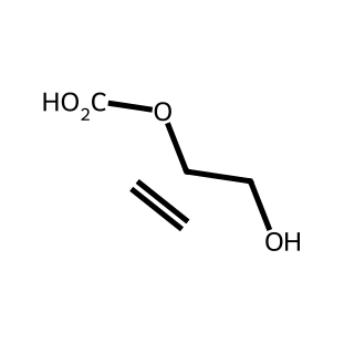 C=C.O=C(O)OCCO